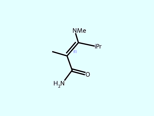 CN/C(=C(\C)C(N)=O)C(C)C